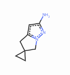 Nc1cc2n(n1)CC1(CC1)C2